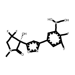 CN1CC(F)(F)[C@@](O)(c2cc(-c3cc(F)c(F)c(B(O)O)c3)no2)C1=O